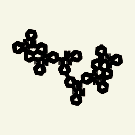 c1ccc(-n2c3ccccc3n3c4ccccc4nc23)c(-c2ccccc2-n2c3ccccc3n3c4cc(-n5c6ccc(-c7ccc8c(c7)n(-c7ccc9c(c7)n7c%10ccccc%10nc7n9-c7ccccc7-c7ccccc7-n7c9ccccc9n9c%10ccccc%10nc79)c7nc9ccccc9n87)cc6n6c7ccccc7nc56)ccc4nc23)c1